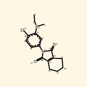 CCN(C)c1cc(N2C(=O)C3=C(CCCC3)C2=O)ccc1Cl